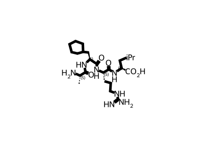 CC(C)C[C@H](NC(=O)[C@H](CCCNC(=N)N)NC(=O)[C@H](CC1CCCCC1)NC(=O)[C@H](C)N)C(=O)O